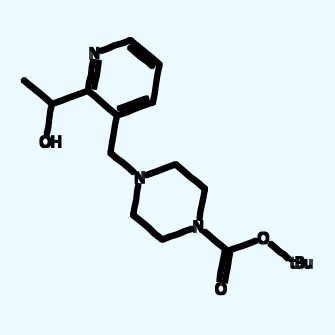 CC(O)c1ncccc1CN1CCN(C(=O)OC(C)(C)C)CC1